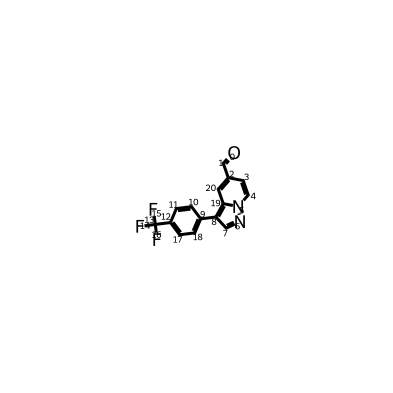 O=Cc1ccn2ncc(-c3ccc(C(F)(F)F)cc3)c2c1